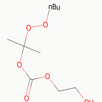 CCCCOOC(C)(C)OC(=O)OCCO